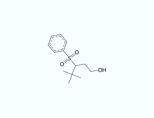 CC(C)(C)C(CCO)S(=O)(=O)c1ccccc1